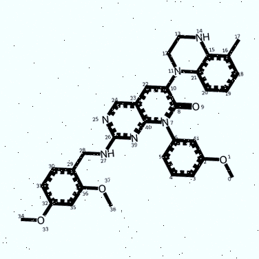 COc1cccc(-n2c(=O)c(N3CCNc4c(C)cccc43)cc3cnc(NCc4ccc(OC)cc4OC)nc32)c1